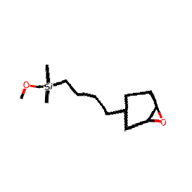 CO[Si](C)(C)CCCCC1CCC2OC2C1